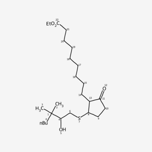 CCCCC(C)(C)C(O)CSC1CCC(=O)C1CCCCCCCCC(=O)OCC